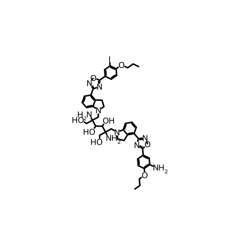 CCCOc1ccc(-c2nc(-c3cccc4c3CCN4CC(N)(CO)C(O)C(O)C(N)(CO)CN3CCc4c(-c5noc(-c6ccc(OCCC)c(I)c6)n5)cccc43)no2)cc1N